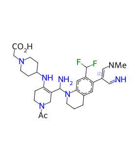 CN/C=C(\C=N)c1cc2c(cc1C(F)F)N(C(N)C1=C(NC3CCN(CC(=O)O)CC3)CCN(C(C)=O)C1)CCC2